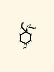 CCC1(SC)CCNCC1